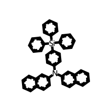 c1ccc([Si](c2ccccc2)(c2ccccc2)c2ccc(N(c3ccc4ccccc4c3)c3ccc4ccccc4c3)cc2)cc1